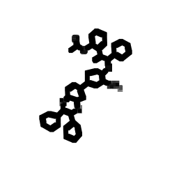 C=C(/C(=N\c1ccc(-c2ccc3nc(-c4ccccc4)c(-c4ccccc4)nc3c2)cc1N)c1ccccc1)c1ccccc1OC(C)=O